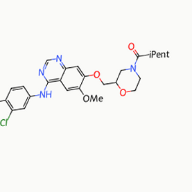 CCCC(C)C(=O)N1CCOC(COc2cc3ncnc(Nc4ccc(Cl)c(Cl)c4)c3cc2OC)C1